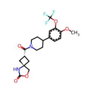 COc1ccc(C2CCN(C(=O)[C@H]3C[C@]4(COC(=O)N4)C3)CC2)cc1OC(F)(F)F